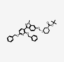 Cn1nc(-c2ccc(OCc3ccccc3)nc2OCc2ccccc2)c2ccc(OC[C@H]3CCCN(C(=O)OC(C)(C)C)C3)cc21